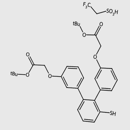 CC(C)(C)OC(=O)COc1cccc(-c2cccc(S)c2-c2cccc(OCC(=O)OC(C)(C)C)c2)c1.O=S(=O)(O)CC(F)(F)F